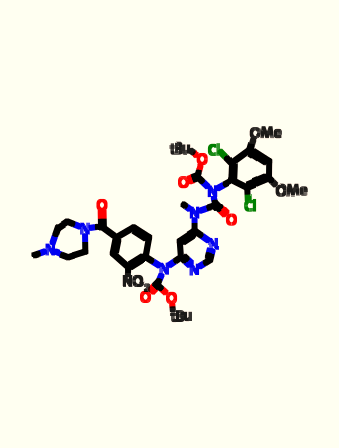 COc1cc(OC)c(Cl)c(N(C(=O)OC(C)(C)C)C(=O)N(C)c2cc(N(C(=O)OC(C)(C)C)c3ccc(C(=O)N4CCN(C)CC4)cc3[N+](=O)[O-])ncn2)c1Cl